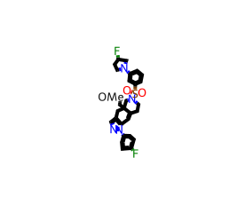 COCC12Cc3cnn(-c4ccc(F)cc4)c3C=C1CCN(S(=O)(=O)c1cccc(N3CCC(F)C3)c1)C2